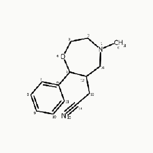 CN1CCOC(c2ccccc2)C(CC#N)C1